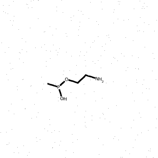 CP(O)OCCN